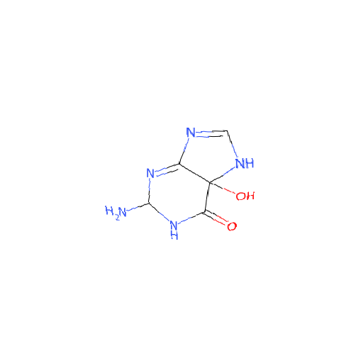 NC1N=C2N=CNC2(O)C(=O)N1